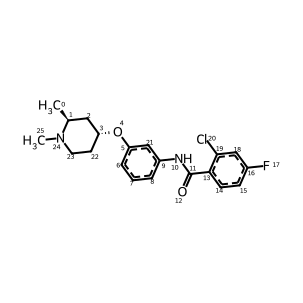 C[C@H]1C[C@H](Oc2cccc(NC(=O)c3ccc(F)cc3Cl)c2)CCN1C